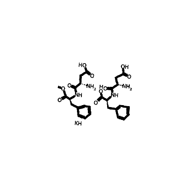 COC(=O)[C@H](Cc1ccccc1)NC(=O)[C@@H](N)CC(=O)O.N[C@@H](CC(=O)O)C(=O)N[C@@H](Cc1ccccc1)C(=O)O.[KH]